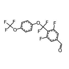 O=Cc1cc(F)c(C(F)(F)Oc2ccc(OC(F)(F)F)cc2)c(F)c1